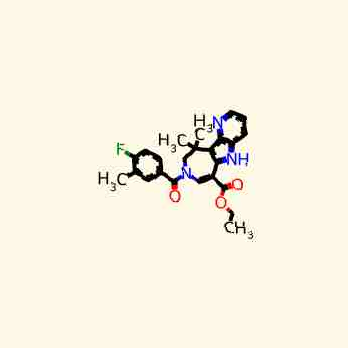 CCOC(=O)C1=CN(C(=O)c2ccc(F)c(C)c2)CC(C)(C)c2c1[nH]c1cccnc21